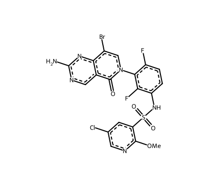 COc1ncc(Cl)cc1S(=O)(=O)Nc1ccc(F)c(-n2cc(Br)c3nc(N)ncc3c2=O)c1F